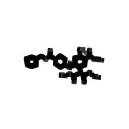 COC(=O)c1cc(C(C(=O)OC(C)(C)C)C(=O)OC(C)(C)C)c(NC2CCN(C(=O)OCc3ccccc3)CC2)cc1C